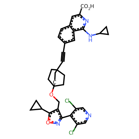 O=C(O)c1cc2ccc(C#CC34CCC(OCc5c(-c6c(Cl)cncc6Cl)noc5C5CC5)(CC3)CC4)cc2c(NC2CC2)n1